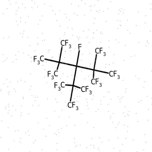 FC(F)(F)C(C(F)(F)F)(C(F)(F)F)C(F)(C(C(F)(F)F)(C(F)(F)F)C(F)(F)F)C(C(F)(F)F)(C(F)(F)F)C(F)(F)F